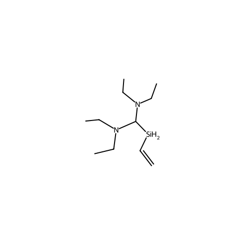 C=C[SiH2]C(N(CC)CC)N(CC)CC